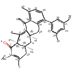 C=C1C2=C(C)[C@]3(C)C(=O)C(C(C)=O)=C(C)C[C@]3(C)C[C@]2(C)Cc2c(-c3cc(C)cc(C)c3)ccc(C)c21